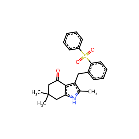 Cc1[nH]c2c(c1Cc1ccccc1S(=O)(=O)c1ccccc1)C(=O)CC(C)(C)C2